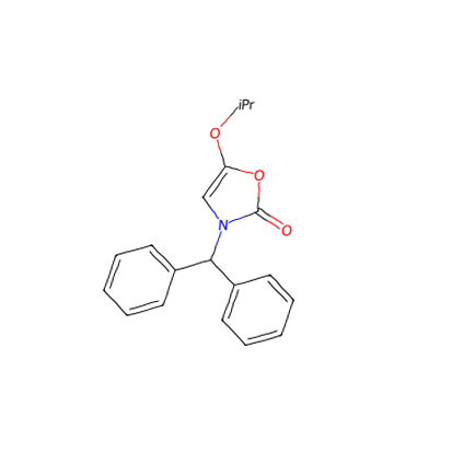 CC(C)Oc1cn(C(c2ccccc2)c2ccccc2)c(=O)o1